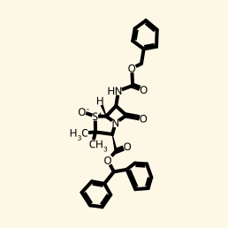 CC1(C)[C@H](C(=O)OC(c2ccccc2)c2ccccc2)N2C(=O)C(NC(=O)OCc3ccccc3)[C@H]2[S+]1[O-]